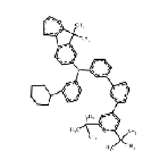 CC(C)(C)c1cc(-c2cccc(-c3cccc(N(c4cccc(C5CCCCC5)c4)c4ccc5c(c4)C(C)(C)c4ccccc4-5)c3)c2)cc(C(C)(C)C)c1